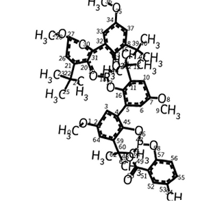 COc1cc(-c2cc(OC)cc(C(C)(C)C)c2Op2oc3c(C(C)(C)C)cc(OC)cc3c3cc(OC)cc(C(C)(C)C)c3o2)c(OP2OC(=O)c3cc(C)ccc3O2)c(C(C)(C)C)c1